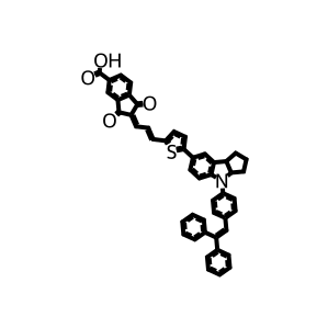 O=C(O)c1ccc2c(c1)C(=O)/C(=C/C=C/c1ccc(-c3ccc4c(c3)C3CCCC3N4c3ccc(C=C(c4ccccc4)c4ccccc4)cc3)s1)C2=O